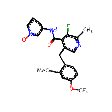 COc1cc(OC(F)(F)F)ccc1Cc1cnc(C)c(F)c1C(=O)Nc1ccc[n+]([O-])c1